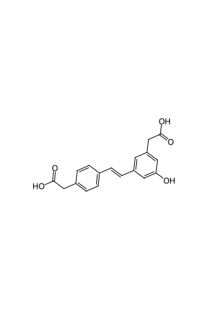 O=C(O)Cc1ccc(C=Cc2cc(O)cc(CC(=O)O)c2)cc1